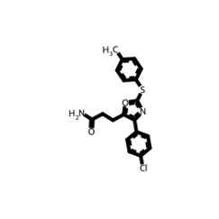 Cc1ccc(Sc2nc(-c3ccc(Cl)cc3)c(CCC(N)=O)o2)cc1